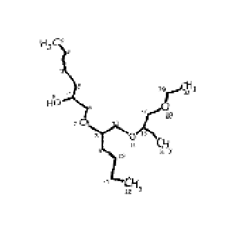 CCCCC(O)COC(CCCC)COC(C)COCC